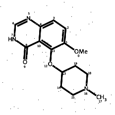 COc1ccc2nc[nH]c(=O)c2c1OC1CCN(C)CC1